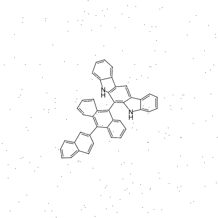 c1ccc2cc(-c3c4ccccc4c(-c4c5[nH]c6ccccc6c5cc5c4[nH]c4ccccc45)c4ccccc34)ccc2c1